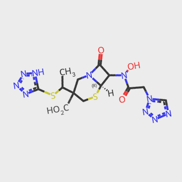 CC(Sc1nnn[nH]1)C1(C(=O)O)CS[C@@H]2C(N(O)C(=O)Cn3cnnn3)C(=O)N2C1